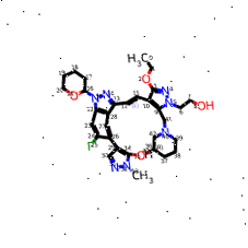 CCOc1nn(CCO)c2c1/C=C/c1nn(C3CCCCO3)c3cc(F)c(cc13)-c1cnn(C)c1O[C@@H]1CCCN(C2)C1